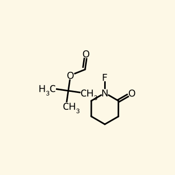 CC(C)(C)OC=O.O=C1CCCCN1F